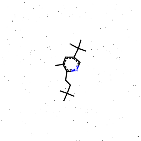 Cc1cc(C(C)(C)C)cnc1CCC(C)(C)C